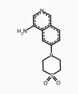 Nc1cncc2ccc(N3CCS(=O)(=O)CC3)cc12